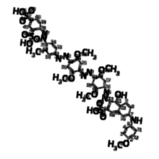 COc1ccc(Nc2ccc3c(O)c(N=Nc4cc(OC)c(N=Nc5cc(OC)c(N=Nc6ccc(N=Nc7ccc(S(=O)(=O)O)cc7S(=O)(=O)O)c(C)c6)cc5OC)cc4OC)c(S(=O)(=O)O)cc3c2)cc1